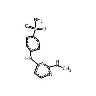 CNc1nccc(Nc2ccc(S(N)(=O)=O)cc2)n1